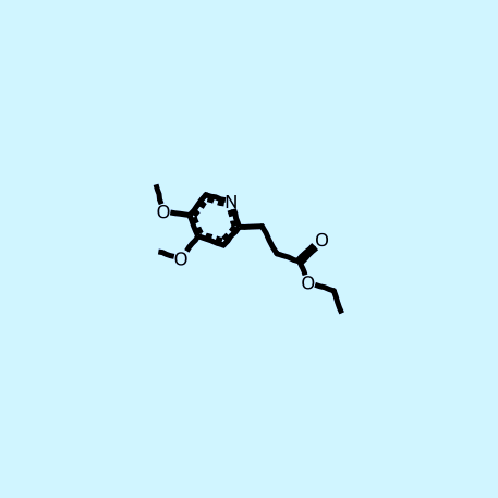 CCOC(=O)CCc1cc(OC)c(OC)cn1